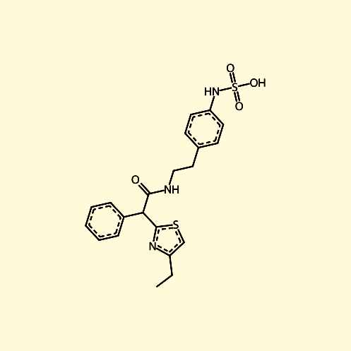 CCc1csc(C(C(=O)NCCc2ccc(NS(=O)(=O)O)cc2)c2ccccc2)n1